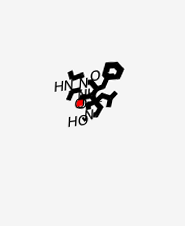 CC(C)CC1(C(C(N)=O)C(Cc2ccccc2)C(=O)N2CC(C)NC(C)C2)CCN(O)C1=O